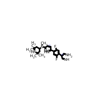 CN(C(=N)/C=C\C(=N)c1cc(F)c(/C(C=N)=C/N)cc1F)C1CC(C)(C)NC(C)(C)C1